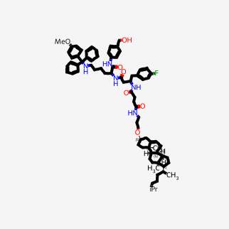 COc1ccc(C(NCCCCC(NC(=O)CC(Cc2ccc(F)cc2)NC(=O)CCC(=O)NCCCO[C@H]2CC[C@@]3(C)C(=CC[C@H]4[C@@H]5CC[C@H](C(C)CCCC(C)C)[C@@]5(C)CC[C@@H]43)C2)C(=O)Nc2ccc(CO)cc2)(c2ccccc2)c2ccccc2)cc1